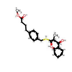 COC(=O)CCCc1ccc(CSc2oc3ccccc3c(=O)c2C)cc1